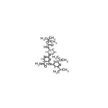 CC(C)c1cc(Nc2nc(N3CCC[C@H](NC(=O)OC(C)(C)C)C3)ncc2C(N)=O)cc(C(C)C)n1